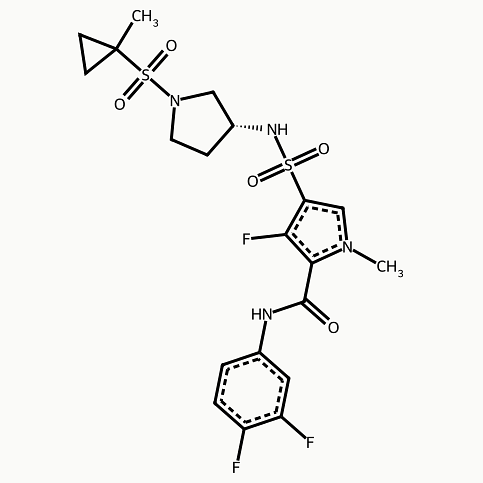 Cn1cc(S(=O)(=O)N[C@@H]2CCN(S(=O)(=O)C3(C)CC3)C2)c(F)c1C(=O)Nc1ccc(F)c(F)c1